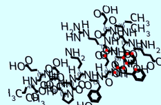 CC(C)C[C@H](NC(=O)[C@H](CCC(=O)O)NC(=O)[C@H](CC(=O)O)NC(=O)[C@@H]1CCCN1C(=O)[C@@H](NC(=O)[C@H](CCCCN)NC(=O)[C@H](Cc1ccc(O)cc1)NC(=O)[C@H](CCC(=O)O)NC(=O)[C@H](Cc1ccccc1)NC(=O)[C@H](CC(=O)O)NC(=O)[C@H](CCCNC(=N)N)NC(=O)[C@H](CCC(=O)O)NC(=O)[C@H](CC(C)C)NC(=O)[C@H](Cc1ccc(O)cc1)NC(=O)[C@@H](N)CCC(=O)O)[C@@H](C)O)C(=O)O